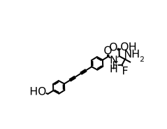 CC(N)(C(F)F)[C@H](NC(=O)c1ccc(C#CC#Cc2ccc(CO)cc2)cc1)C(=O)O